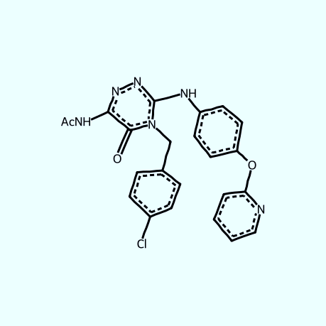 CC(=O)Nc1nnc(Nc2ccc(Oc3ccccn3)cc2)n(Cc2ccc(Cl)cc2)c1=O